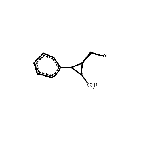 O=C(O)C1C(CO)C1c1ccccc1